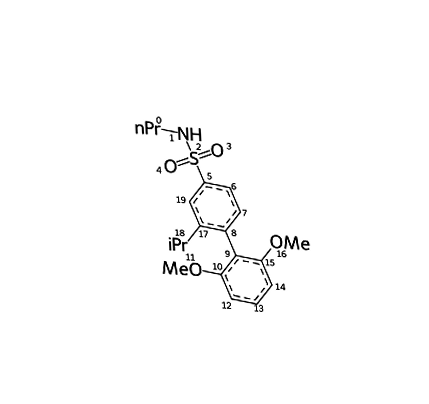 CCCNS(=O)(=O)c1ccc(-c2c(OC)cccc2OC)c(C(C)C)c1